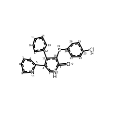 O=c1[nH]cc(-c2ccccn2)c(-c2ccccc2)c1Sc1ccc(Cl)cc1